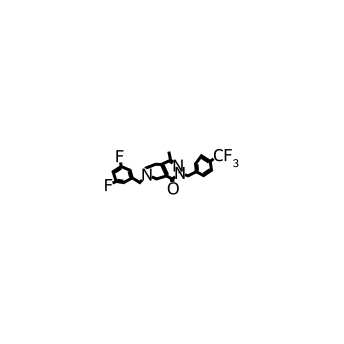 Cc1nn(Cc2ccc(C(F)(F)F)cc2)c(=O)c2c1CCN(Cc1cc(F)cc(F)c1)C2